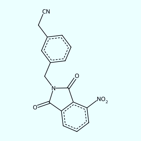 N#CCc1cccc(CN2C(=O)c3cccc([N+](=O)[O-])c3C2=O)c1